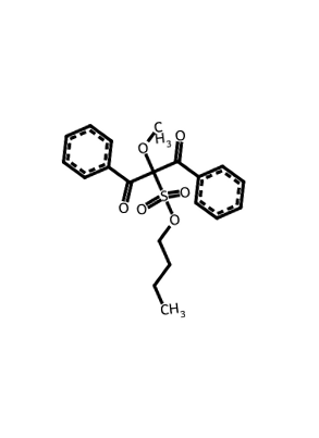 CCCCOS(=O)(=O)C(OC)(C(=O)c1ccccc1)C(=O)c1ccccc1